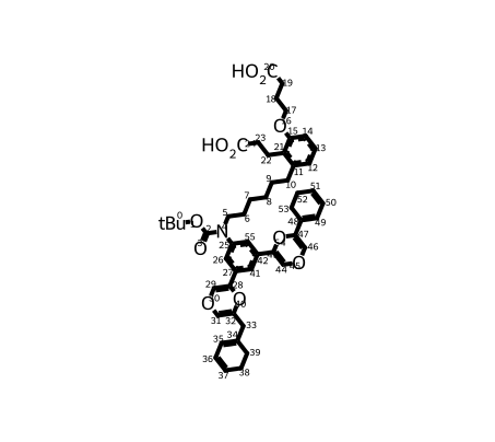 CC(C)(C)OC(=O)N(CCCCCCc1cccc(OCCCC(=O)O)c1CCC(=O)O)c1cc(C2=COC=C(CC3=CC=CCC3)O2)cc(C2=COC=C(C3=CC=CCC3)O2)c1